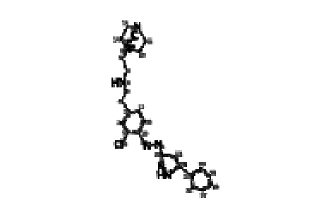 Clc1cc(CCNCC[N+]23CCN(CC2)CC3)ccc1N=Nc1cc(-c2ccccc2)[nH]n1